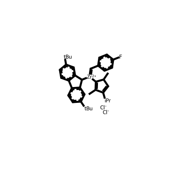 CC1=[C](/[Zr+2](=[CH]\c2ccc(F)cc2)[CH]2c3cc(C(C)(C)C)ccc3-c3ccc(C(C)(C)C)cc32)C(C)C=C1C(C)C.[Cl-].[Cl-]